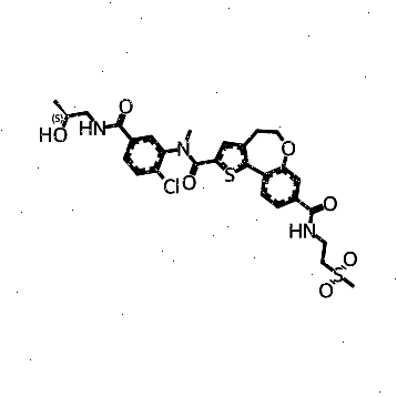 C[C@H](O)CNC(=O)c1ccc(Cl)c(N(C)C(=O)c2cc3c(s2)-c2ccc(C(=O)NCCS(C)(=O)=O)cc2OCC3)c1